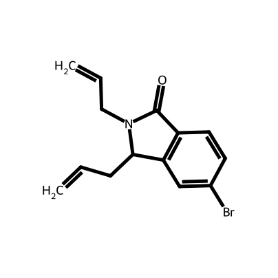 C=CCC1c2cc(Br)ccc2C(=O)N1CC=C